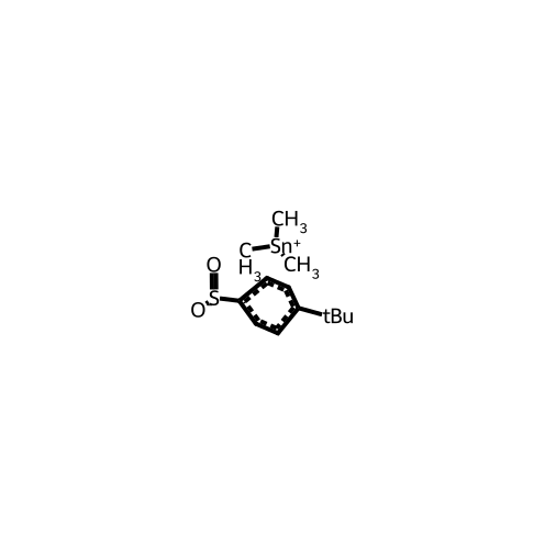 CC(C)(C)c1ccc(S(=O)[O-])cc1.[CH3][Sn+]([CH3])[CH3]